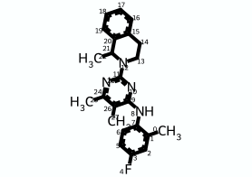 Cc1cc(F)ccc1Nc1nc(N2CCc3ccccc3C2C)nc(C)c1C